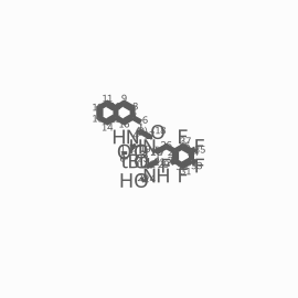 CC(C)(C)OC(=O)N[C@H](Cc1ccc2ccccc2c1)C(=O)N[C@@H](CC(=O)NO)Cc1c(F)c(F)c(F)c(F)c1F